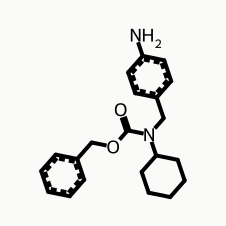 Nc1ccc(CN(C(=O)OCc2ccccc2)C2CCCCC2)cc1